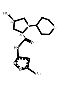 CC(C)(C)c1cc(NC(=O)[C@@H]2C[C@@H](O)CN2C2CCOCC2)no1